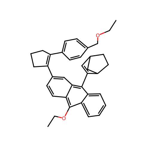 CCOCc1ccc(C2=C(c3ccc4c(OCC)c5ccccc5c(C5=CC6CCC5C6)c4c3)CCC2)cc1